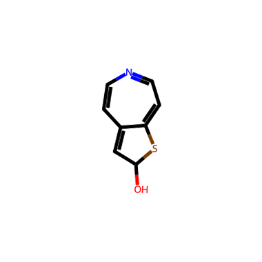 OC1C=C2C=CN=CC=C2S1